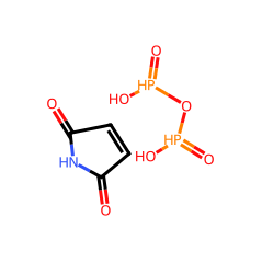 O=C1C=CC(=O)N1.O=[PH](O)O[PH](=O)O